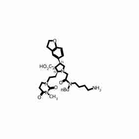 CCCCN(CCCCN)C(=O)CN1C[C@H](c2ccc3c(c2)CCO3)[C@@H](C(=O)O)[C@@H]1CCN1CCC(=O)N(C)C1=O